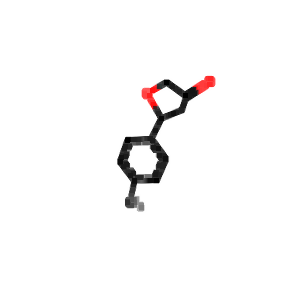 O=C1COC(c2ccc(C(F)(F)F)cc2)C1